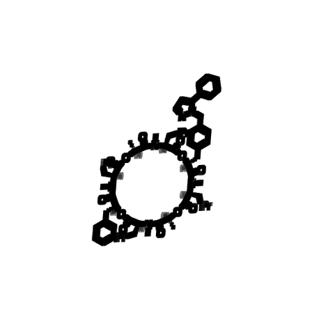 CC(C)C[C@H]1C(=O)O[C@H](Cc2ccc(Cn3nccc3-c3ccccc3)cc2)C(=O)N(C)[C@@H](CC(C)C)C(=O)O[C@H](C)C(=O)N(C)[C@@H](CC(C)C)C(=O)O[C@H](Cc2ccccc2)C(=O)N(C)[C@@H](CC(C)C)C(=O)O[C@H](C)C(=O)N1C